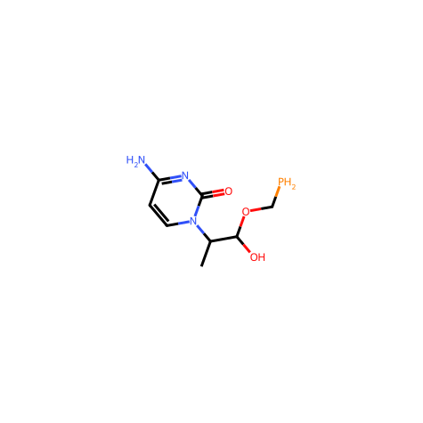 CC(C(O)OCP)n1ccc(N)nc1=O